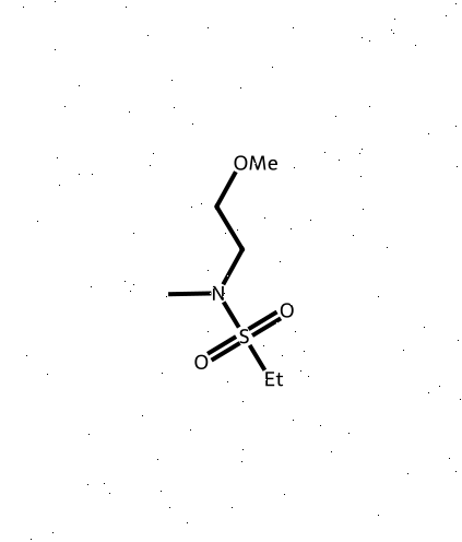 CCS(=O)(=O)N(C)CCOC